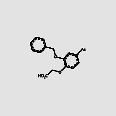 CC(=O)c1ccc(OCC(=O)O)c(OCc2ccccc2)c1